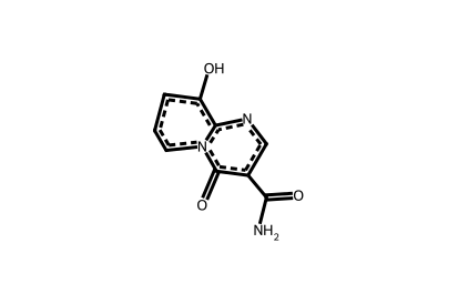 NC(=O)c1cnc2c(O)cccn2c1=O